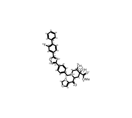 COC(=O)C1(C(=O)O)CC(C(=O)C2=COCO2)N(Cc2ccc(-c3noc(-c4ccc(-c5ccccc5)c(F)c4)n3)cc2)CC1C